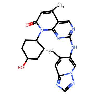 Cc1cc2ncnn2cc1Nc1ncc2c(C)cc(=O)n(C3CCC(O)CC3)c2n1